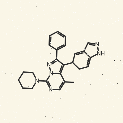 Cc1cnc(N2CCCCC2)n2nc(-c3ccccc3)c(C3C=c4cn[nH]c4=CC3)c12